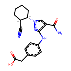 N#C[C@H]1CCCC[C@@H]1n1cc(C(N)=O)c(Nc2ccc(CC(=O)O)cc2)n1